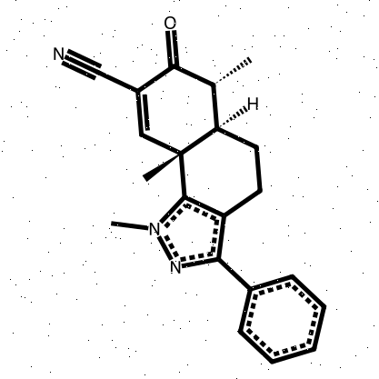 C[C@H]1C(=O)C(C#N)=C[C@@]2(C)c3c(c(-c4ccccc4)nn3C)CC[C@H]12